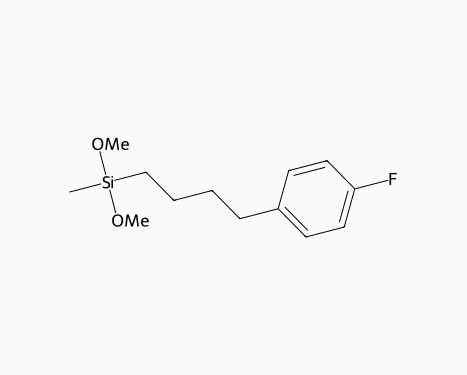 CO[Si](C)(CCCCc1ccc(F)cc1)OC